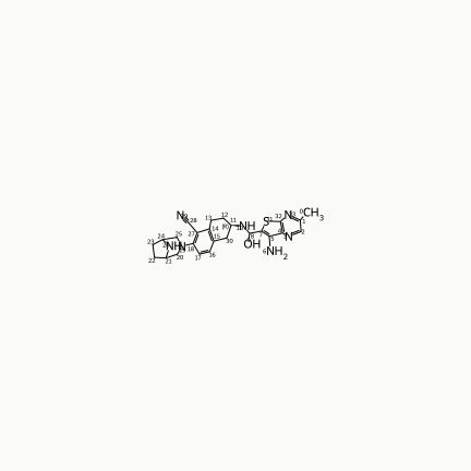 Cc1cnc2c(N)c(C(O)N[C@@H]3CCc4c(ccc(N5CC6CCC(C5)N6)c4C#N)C3)sc2n1